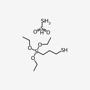 CCO[Si](CCCS)(OCC)OCC.O=[SH](=O)[SiH3]